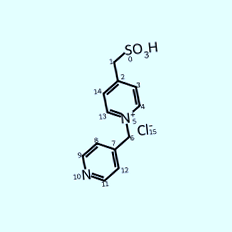 O=S(=O)(O)Cc1cc[n+](Cc2ccncc2)cc1.[Cl-]